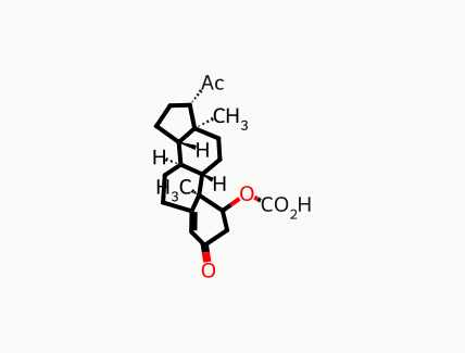 CC(=O)[C@H]1CC[C@H]2[C@@H]3CCC4=CC(=O)CC(OC(=O)O)[C@]4(C)[C@H]3CC[C@]12C